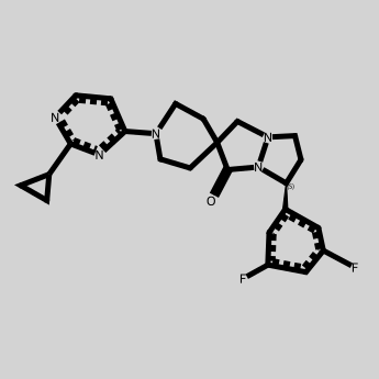 O=C1N2[C@H](c3cc(F)cc(F)c3)CCN2CC12CCN(c1ccnc(C3CC3)n1)CC2